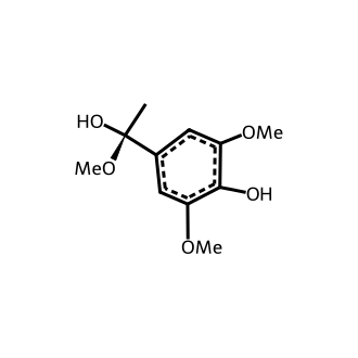 COc1cc([C@@](C)(O)OC)cc(OC)c1O